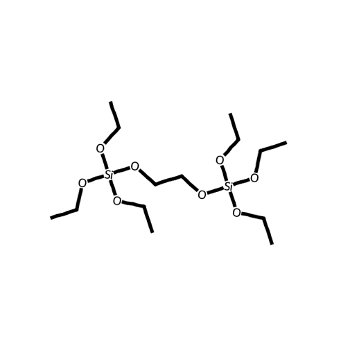 CCO[Si](OCC)(OCC)OCCO[Si](OCC)(OCC)OCC